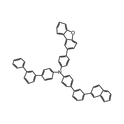 c1ccc(-c2cccc(-c3ccc(N(c4ccc(-c5cccc(-c6ccc7ccccc7c6)c5)cc4)c4ccc(-c5ccc6oc7ccccc7c6c5)cc4)cc3)c2)cc1